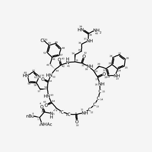 CCCC[C@H](NC(C)=O)C(=O)N[C@H]1CCC(=O)NCCCCNC(=O)[C@H](Cc2c[nH]c3ccccc23)NC(=O)[C@H](CCCNC(=N)N)NC(=O)[C@@H](Cc2cccc(Cl)c2)NC(=O)[C@H](Cc2c[nH]cn2)NC1=O